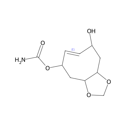 NC(=O)OC1/C=C/C(O)CC2OCOC2C1